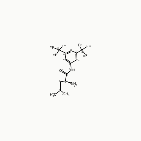 CC(C)C[C@H](N)C(=O)Nc1cc(C(F)(F)F)cc(C(F)(F)F)c1